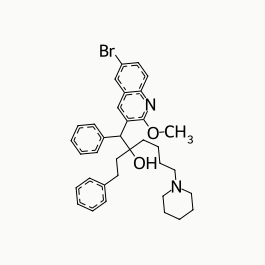 COc1nc2ccc(Br)cc2cc1C(c1ccccc1)C(O)(CCCCN1CCCCC1)CCc1ccccc1